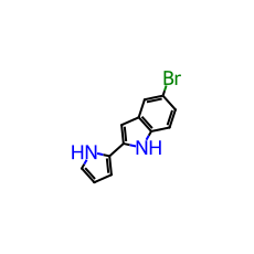 Brc1ccc2[nH]c(-c3ccc[nH]3)cc2c1